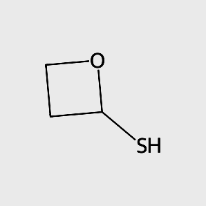 SC1CCO1